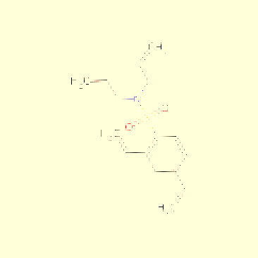 C=CCN(CC=C)S(=O)(=O)c1ccc(C=C)cc1C=C